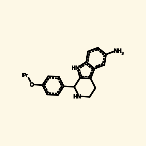 CC(C)Oc1ccc(C2NCCc3c2[nH]c2ccc(N)cc32)cc1